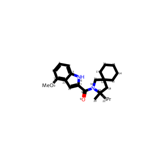 COc1cccc2[nH]c(C(=O)N3CC4(CCCCC4)CC3(C)C(C)C)cc12